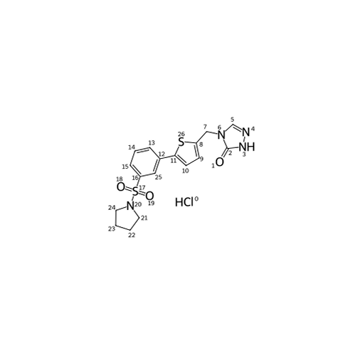 Cl.O=c1[nH]ncn1Cc1ccc(-c2cccc(S(=O)(=O)N3CCCC3)c2)s1